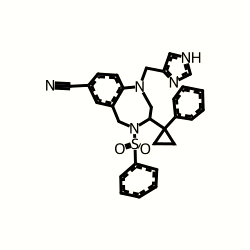 N#Cc1ccc2c(c1)CN(S(=O)(=O)c1ccccc1)C(C1(c3ccccc3)CC1)CN2Cc1c[nH]cn1